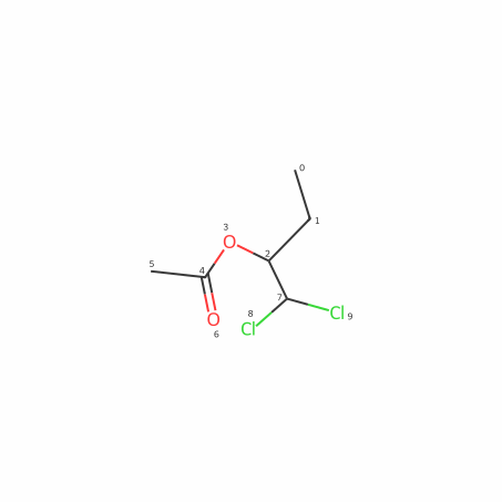 CCC(OC(C)=O)C(Cl)Cl